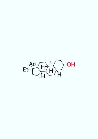 CC[C@@]1(C(C)=O)CC[C@H]2[C@@H]3CC[C@H]4C[C@@H](O)CC[C@]4(C)[C@H]3CC[C@@]21C